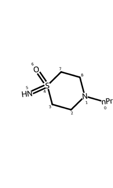 CCCN1CCS(=N)(=O)CC1